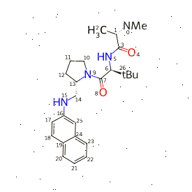 CN[C@@H](C)C(=O)N[C@H](C(=O)N1CCC[C@H]1CNc1ccc2ccccc2c1)C(C)(C)C